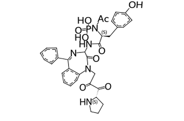 CC(=O)N([C@@H](Cc1ccc(O)cc1)C(=O)NC1N=C(c2ccccc2)c2ccccc2N(CC(=O)C(=O)[C@@H]2CCCN2)C1=O)P(=O)(O)O